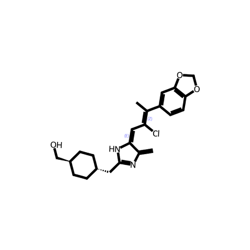 C=c1nc(C[C@H]2CC[C@H](CO)CC2)[nH]/c1=C/C(Cl)=C(\C)c1ccc2c(c1)OCO2